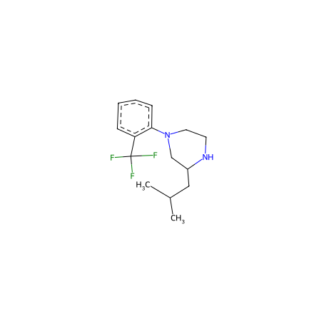 CC(C)CC1CN(c2ccccc2C(F)(F)F)CCN1